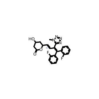 Cn1nnnc1C(/C=C/C1CC(O)CC(=O)O1)=C(c1ccccc1F)c1ccccc1F